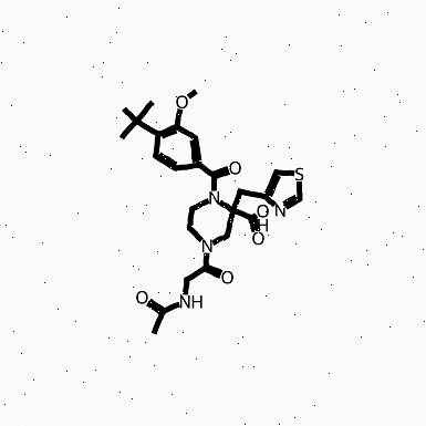 COc1cc(C(=O)N2CCN(C(=O)CNC(C)=O)CC2(Cc2cscn2)C(=O)O)ccc1C(C)(C)C